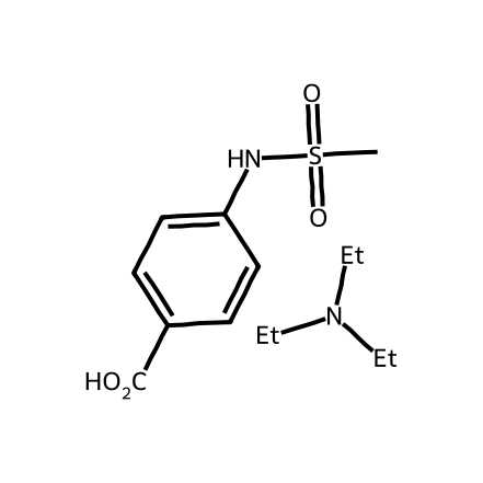 CCN(CC)CC.CS(=O)(=O)Nc1ccc(C(=O)O)cc1